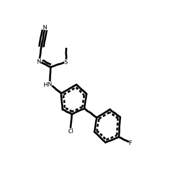 CS/C(=N\C#N)Nc1ccc(-c2ccc(F)cc2)c(Cl)c1